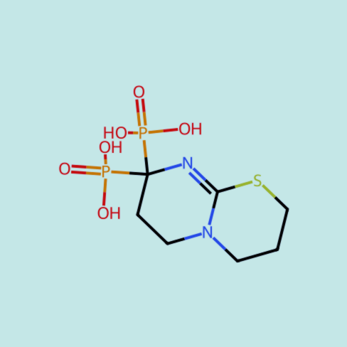 O=P(O)(O)C1(P(=O)(O)O)CCN2CCCSC2=N1